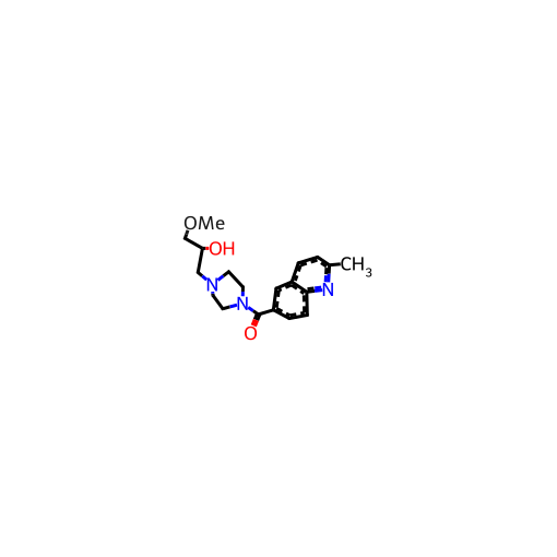 COCC(O)CN1CCN(C(=O)c2ccc3nc(C)ccc3c2)CC1